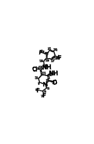 N=C1C(=O)N(CC(F)F)CC/C1=C(\Cl)NCc1cc(F)ccc1F